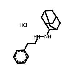 Cl.c1ccc(CCNNC2C3CC4CC(C3)CC2C4)cc1